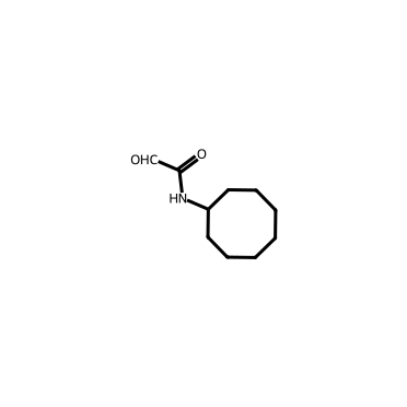 O=CC(=O)NC1CCCCCCC1